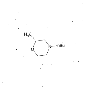 CCCCN1CCO[C@H](C)C1